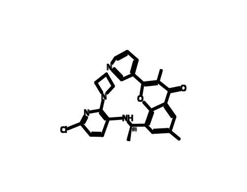 Cc1cc([C@@H](C)Nc2ccc(Cl)nc2N2CCC2)c2oc(-c3cccnc3)c(C)c(=O)c2c1